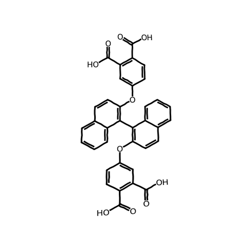 O=C(O)c1ccc(Oc2ccc3ccccc3c2-c2c(Oc3ccc(C(=O)O)c(C(=O)O)c3)ccc3ccccc23)cc1C(=O)O